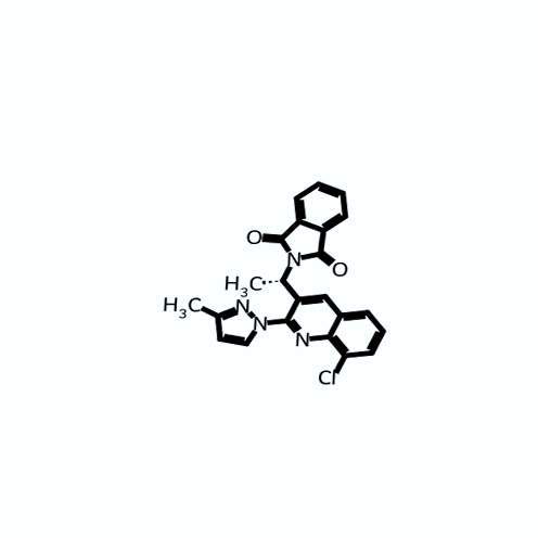 Cc1ccn(-c2nc3c(Cl)cccc3cc2[C@H](C)N2C(=O)c3ccccc3C2=O)n1